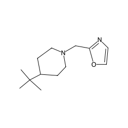 CC(C)(C)C1CCN(Cc2ncco2)CC1